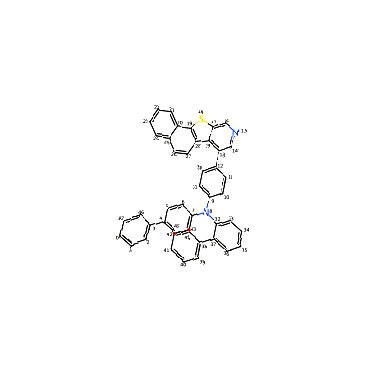 c1ccc(-c2ccc(N(c3ccc(-c4cncc5sc6c7ccccc7ccc6c45)cc3)c3ccccc3-c3ccccc3)cc2)cc1